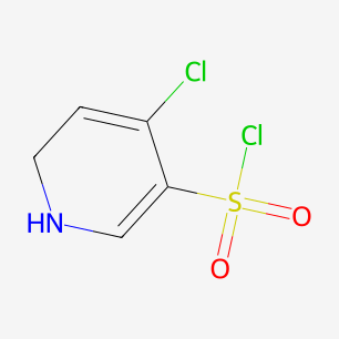 O=S(=O)(Cl)C1=CNCC=C1Cl